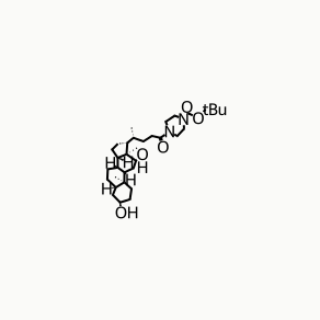 C[C@H](CCC(=O)N1CCN(C(=O)OC(C)(C)C)CC1)[C@H]1CC[C@H]2[C@@H]3CC[C@@H]4C[C@H](O)CC[C@]4(C)[C@H]3C[C@H](O)[C@]12C